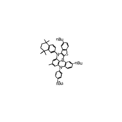 CCCCc1ccc(N2c3ccc(CCCC)cc3B3c4sc5ccc(CCCC)cc5c4N(c4ccc5c(c4)C(C)(C)CCC5(C)C)c4cc(C)cc2c43)cc1